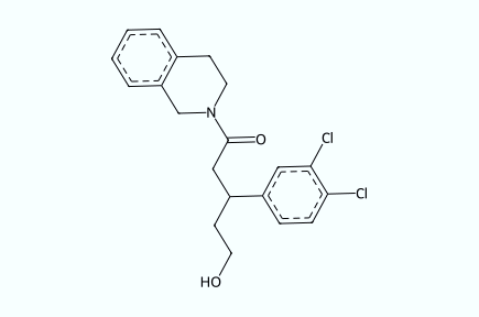 O=C(CC(CCO)c1ccc(Cl)c(Cl)c1)N1CCc2ccccc2C1